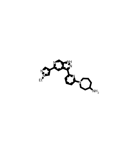 CCn1cc(-c2cc3c(-c4cccc(N5CCCC(N)CC5)n4)n[nH]c3cn2)cn1